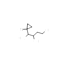 CCCC(C)C(C)C1(N)CC1